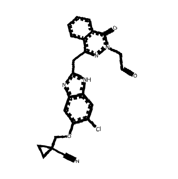 N#CC1(COc2cc3nc(Cc4nn(CC=O)c(=O)c5ccccc45)[nH]c3cc2Cl)CC1